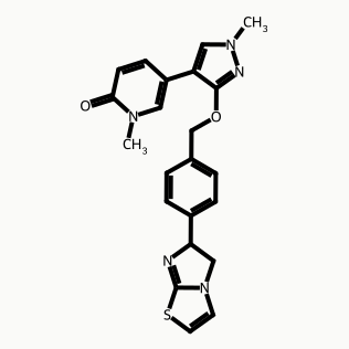 Cn1cc(-c2ccc(=O)n(C)c2)c(OCc2ccc(C3CN4C=CSC4=N3)cc2)n1